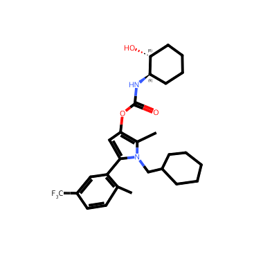 Cc1ccc(C(F)(F)F)cc1-c1cc(OC(=O)N[C@@H]2CCCC[C@H]2O)c(C)n1CC1CCCCC1